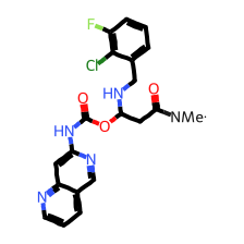 C[N]C(=O)CC(NCc1cccc(F)c1Cl)OC(=O)Nc1cc2ncccc2cn1